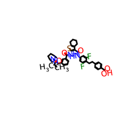 CC(C)C(=O)N1C2CCC1CN(Cc1cccc(C(=O)Nc3sc4c(c3C(=O)Nc3cc(F)c(CCc5ccc(C(=O)O)cc5)c(F)c3)CCCC4)c1)C2